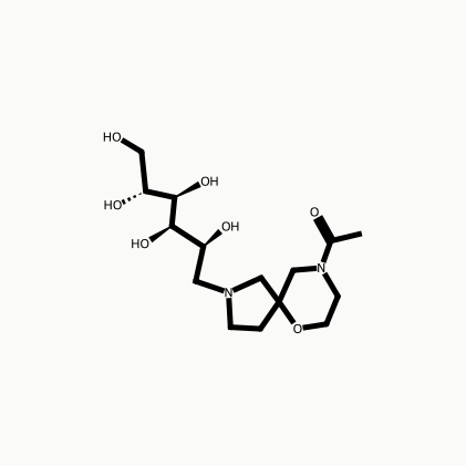 CC(=O)N1CCOC2(CCN(C[C@H](O)[C@@H](O)[C@H](O)[C@H](O)CO)C2)C1